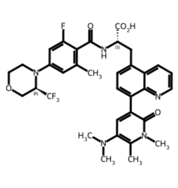 Cc1cc(N2CCOC[C@@H]2C(F)(F)F)cc(F)c1C(=O)N[C@@H](Cc1ccc(-c2cc(N(C)C)c(C)n(C)c2=O)c2ncccc12)C(=O)O